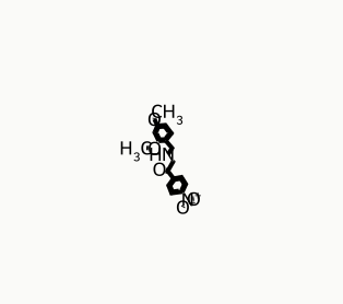 COc1ccc(CNCC(=O)c2ccc([N+](=O)[O-])cc2)c(OC)c1